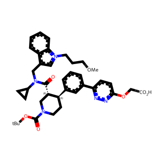 COCCCn1cc(CN(C(=O)[C@H]2CN(C(=O)OC(C)(C)C)CC[C@@H]2c2cccc(-c3ccc(OCC(=O)O)nn3)c2)C2CC2)c2ccccc21